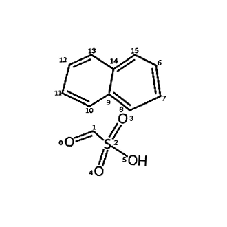 O=CS(=O)(=O)O.c1ccc2ccccc2c1